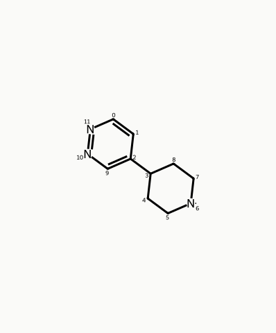 c1cc(C2CC[N]CC2)cnn1